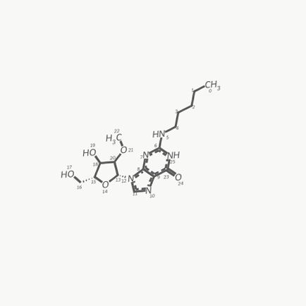 CCCCCNc1nc2c(ncn2[C@@H]2O[C@H](CO)C(O)C2OC)c(=O)[nH]1